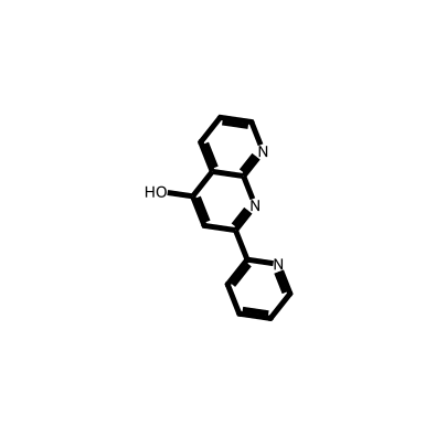 Oc1cc(-c2ccccn2)nc2ncccc12